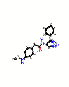 CCCCNc1ccc(CC(=O)Nc2c[nH]nc2-c2ccccc2)cc1